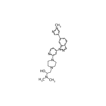 CN(C)C(O)CN1CCN(c2cc(-n3ncc4ccc(-c5cnn(C)c5)cc43)ccn2)CC1